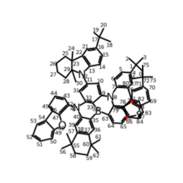 CC(C)(C)c1ccc(N2c3cc(N4c5ccc(C(C)(C)C)cc5C5(C)CCCCC45C)cc4c3B(c3cc5c(cc3N4c3cccc4c3oc3ccccc34)C(C)(C)CCC5(C)C)c3ccc4sc5ccc(C(C)(C)C)cc5c4c32)c(-c2ccccc2)c1